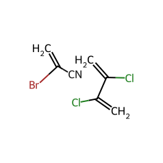 C=C(Br)C#N.C=C(Cl)C(=C)Cl